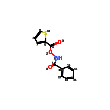 O=C(NOC(=O)c1cccs1)c1ccccc1